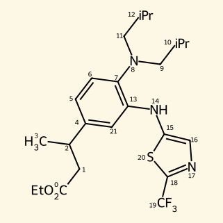 CCOC(=O)CC(C)c1ccc(N(CC(C)C)CC(C)C)c(Nc2cnc(C(F)(F)F)s2)c1